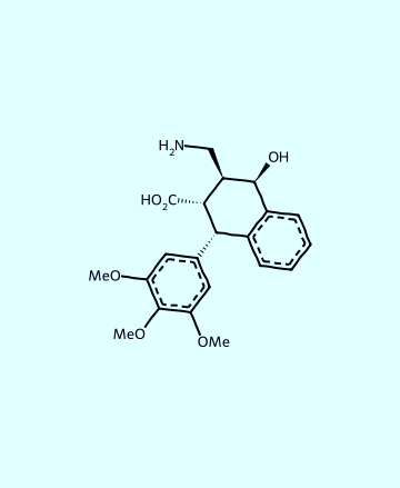 COc1cc([C@H]2c3ccccc3[C@H](O)[C@H](CN)[C@H]2C(=O)O)cc(OC)c1OC